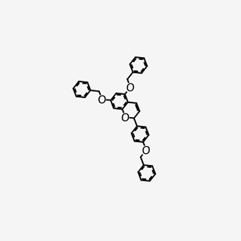 C1=CC(c2ccc(OCc3ccccc3)cc2)Oc2cc(OCc3ccccc3)cc(OCc3ccccc3)c21